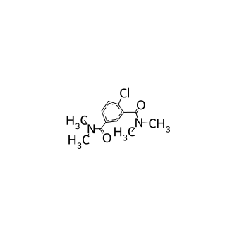 CN(C)C(=O)c1ccc(Cl)c(C(=O)N(C)C)c1